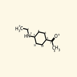 CCNC1CCC(C(C)=O)CC1